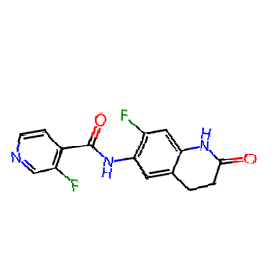 O=C1CCc2cc(NC(=O)c3ccncc3F)c(F)cc2N1